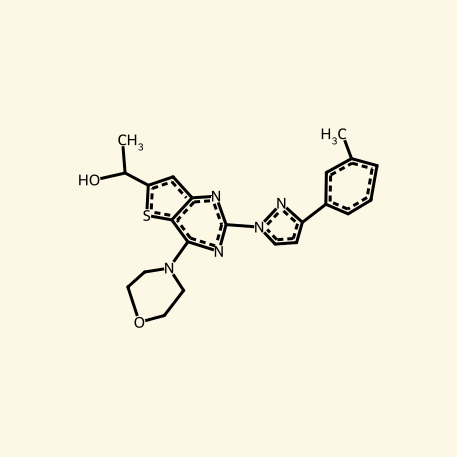 Cc1cccc(-c2ccn(-c3nc(N4CCOCC4)c4sc(C(C)O)cc4n3)n2)c1